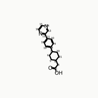 O=C(O)CC1CCC(c2ccc(-c3cnccn3)cc2)CC1